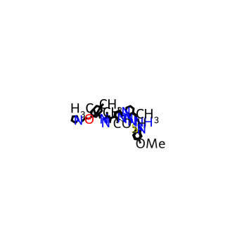 COc1ccc2sc(Nc3nnc4c(c3C)CCCN4c3ccc(-c4cnn(CC56CC7(C)CC(C)(C5)CC(OCCN5CCCC5)(C7)C6)c4C)c(C(=O)O)n3)nc2c1